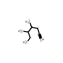 C#CC[C](C)C(C)CC